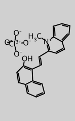 C[n+]1c(/C=C/c2c(O)ccc3ccccc23)ccc2ccccc21.[O-][Cl+3]([O-])([O-])[O-]